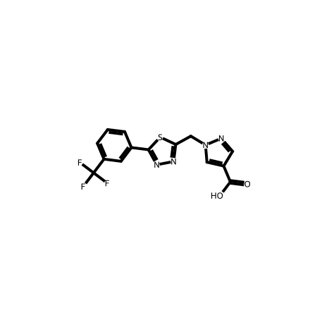 O=C(O)c1cnn(Cc2nnc(-c3cccc(C(F)(F)F)c3)s2)c1